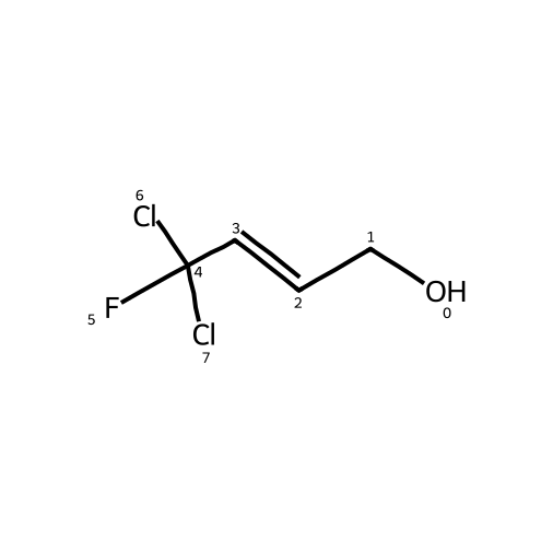 OCC=CC(F)(Cl)Cl